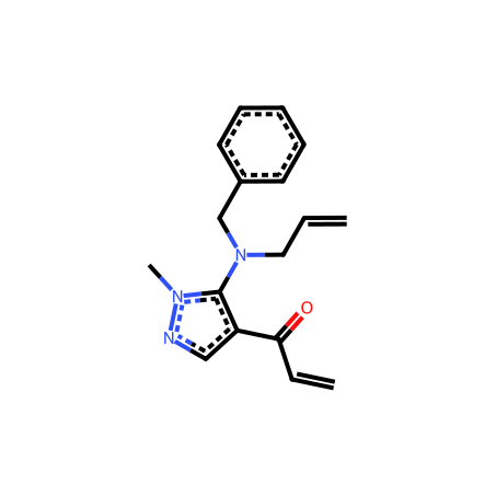 C=CCN(Cc1ccccc1)c1c(C(=O)C=C)cnn1C